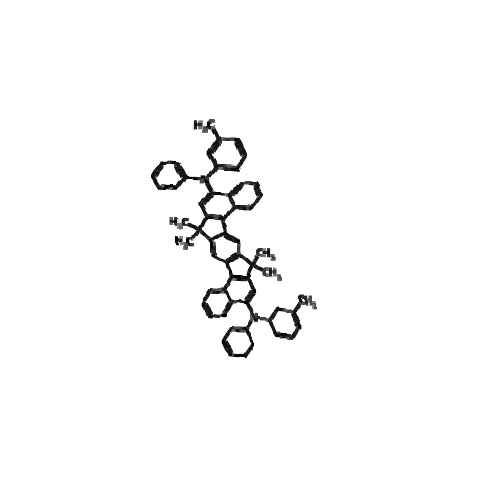 CC1=CC=CC(N(C2=CC=CCC2)c2cc3c(c4ccccc24)-c2cc4c(cc2C3(C)C)-c2c(cc(N(c3ccccc3)c3cccc(C)c3)c3ccccc23)C4(C)C)C1